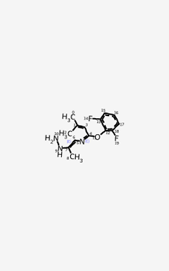 CC(C)=C/C(=N\C=C(/C)NN)Oc1c(F)cccc1F